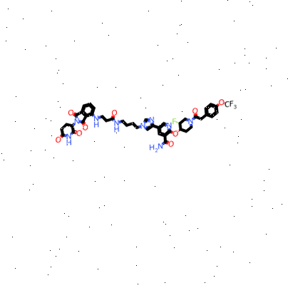 NC(=O)c1cc(-c2cn(CCCCNC(=O)CCNc3cccc4c3C(=O)N(C3CCC(=O)NC3=O)C4=O)cn2)cnc1O[C@@H]1CCN(C(=O)Cc2ccc(OC(F)(F)F)cc2)C[C@H]1F